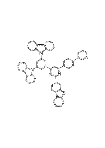 c1cncc(-c2ccc(-c3cc(-c4cc(-n5c6ccccc6c6ccccc65)cc(-n5c6ccccc6c6ccccc65)c4)nc(-c4ccc5c(c4)sc4ccccc45)n3)cc2)c1